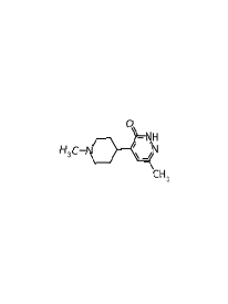 Cc1cc(C2CCN(C)CC2)c(=O)[nH]n1